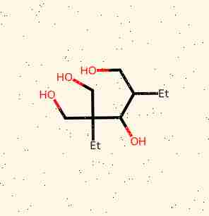 CCC(CO)C(O)C(CC)(CO)CO